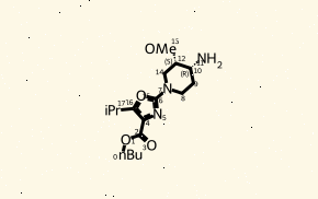 CCCCOC(=O)c1nc(N2CC[C@@H](N)[C@@H](OC)C2)oc1C(C)C